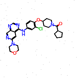 O=C(C1CCCC1)N1CCC(Oc2ccc(Nc3ncnc4cnc(N5CCOCC5)cc34)cc2Cl)CC1